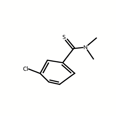 CN(C)C(=S)c1cccc(Cl)c1